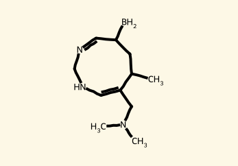 BC1/C=N\CN/C=C(/CN(C)C)C(C)C1